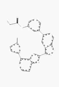 CCC(=O)Nc1cncc(-c2cc3c(-c4nc5c(-c6ccc(C)s6)nccc5[nH]4)n[nH]c3cn2)c1